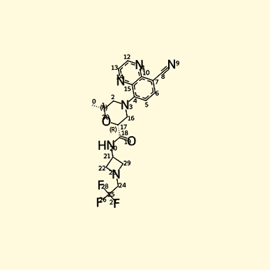 C[C@@H]1CN(c2ccc(C#N)c3nccnc23)C[C@H](C(=O)NC2CN(CC(F)(F)F)C2)O1